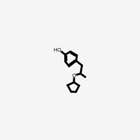 CC(Cc1ccc(O)cc1)OC1CCCC1